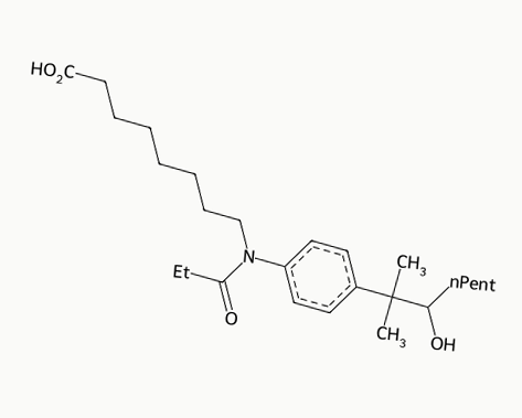 CCCCCC(O)C(C)(C)c1ccc(N(CCCCCCCC(=O)O)C(=O)CC)cc1